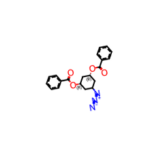 [N-]=[N+]=NC1C[C@@H](OC(=O)c2ccccc2)C[C@H](OC(=O)c2ccccc2)C1